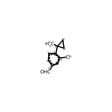 CC1(c2ccc(C=O)cc2Cl)CC1